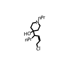 CCCC(/C=C\CCl)C1(O)CCN(CCC)CC1